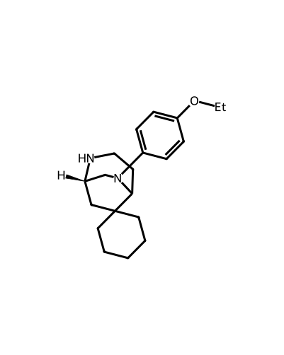 CCOc1ccc(N2C[C@@H]3CC4(CCCCC4)C2CCN3)cc1